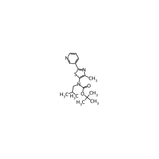 Cc1nc(-c2cccnc2)sc1N(CC(C)C)C(=O)OC(C)(C)C